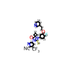 N#Cc1ncc(N2C(=O)C3(CCC3)N(c3ccc(F)c(OCCc4cccnc4)c3)C2=S)cc1C(F)(F)F